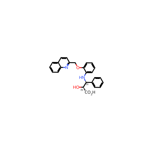 O=C(O)[C@@H](O)[C@@H](Nc1ccccc1OCc1ccc2ccccc2n1)c1ccccc1